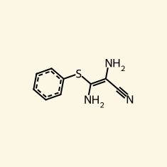 N#C/C(N)=C(\N)Sc1ccccc1